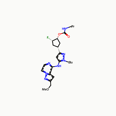 COCc1cc2c(Nc3cc([C@@H]4C[C@H](F)[C@H](OC(=O)NC(C)C)C4)nn3C(C)(C)C)nccn2n1